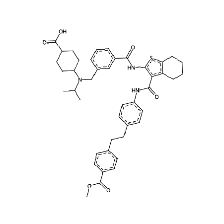 COC(=O)c1ccc(CCc2ccc(NC(=O)c3c(NC(=O)c4cccc(CN(C(C)C)C5CCC(C(=O)O)CC5)c4)sc4c3CCCC4)cc2)cc1